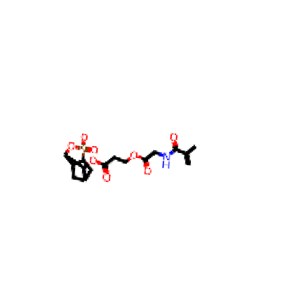 C=C(C)C(=O)NCC(=O)OCCC(=O)OC1C2CC3C1OS(=O)(=O)C3C2